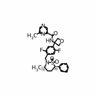 Cc1cncc(C(=O)NC2(c3cc(F)c(CN4[C@@H](C)CC[C@H](c5ccccc5)S4(=O)=O)cc3F)COC2)n1